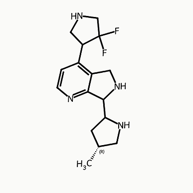 C[C@H]1CNC(C2NCc3c(C4CNCC4(F)F)ccnc32)C1